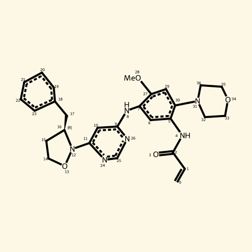 C=CC(=O)Nc1cc(Nc2cc(N3OCC[C@H]3Cc3ccccc3)ncn2)c(OC)cc1N1CCOCC1